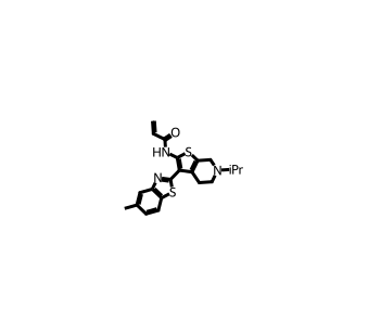 C=CC(=O)Nc1sc2c(c1-c1nc3cc(C)ccc3s1)CCN(C(C)C)C2